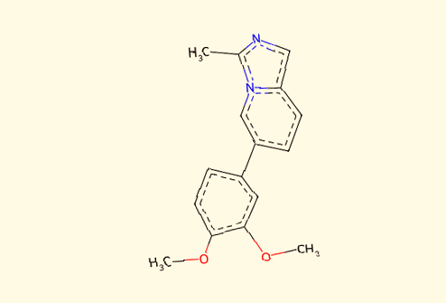 COc1ccc(-c2ccc3cnc(C)n3c2)cc1OC